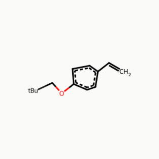 C=Cc1ccc(OCC(C)(C)C)cc1